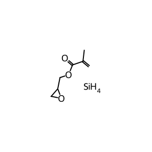 C=C(C)C(=O)OCC1CO1.[SiH4]